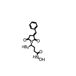 CCCCC(CCC(=O)NO)N1C(=O)C/C(=C\c2ccccc2)C1=O